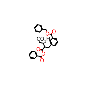 O=C(O)CCC(Cc1cccc(C(=O)OCc2ccccc2)c1)C(=O)OC(=O)c1ccccc1